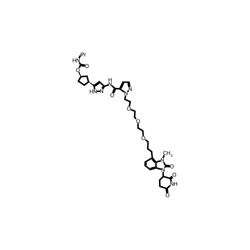 CC(C)NC(=O)O[C@@H]1CC[C@H](c2cc(NC(=O)c3ccnn3CCOCCOCCOCCCc3cccc4c3n(C)c(=O)n4C3CCC(=O)NC3=O)n[nH]2)C1